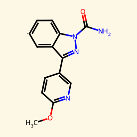 COc1ccc(-c2nn(C(N)=O)c3cc[c]cc23)cn1